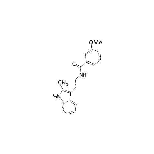 COc1cccc(C(=O)NCCc2c(C)[nH]c3ccccc23)c1